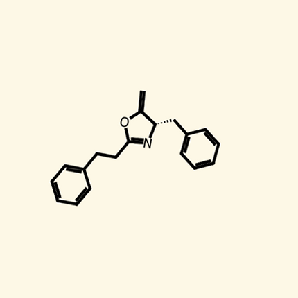 C=C1OC(CCc2ccccc2)=N[C@H]1Cc1ccccc1